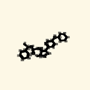 C[C@@H](OC(=O)Nc1c(-c2ccc(OC3CCCCC3)cn2)nnn1C)c1ccccc1